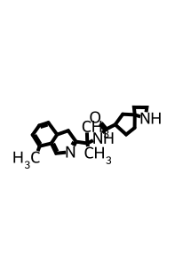 CC1=CC=CC2CC(C(C)(C)NC(=O)C3CCC4(CCN4)C3)=NC=C12